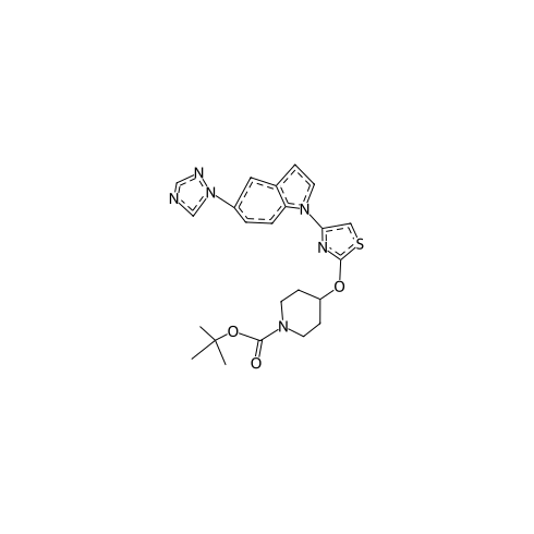 CC(C)(C)OC(=O)N1CCC(Oc2nc(-n3ccc4cc(-n5cncn5)ccc43)cs2)CC1